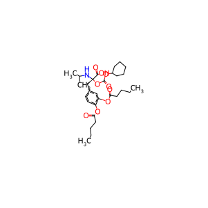 CCCCC(=O)Oc1ccc(C[C@](NC(C)C)(OC(=O)OC2CCCCC2)C(=O)O)cc1OC(=O)CCCC